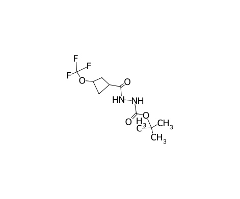 CC(C)(C)OC(=O)NNC(=O)C1CC(OC(F)(F)F)C1